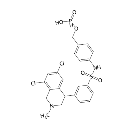 CN1Cc2c(Cl)cc(Cl)cc2C(c2cccc(S(=O)(=O)Nc3ccc(CO[PH](=O)O)cc3)c2)C1